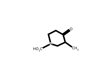 CC1CN(C(=O)O)CCC1=O